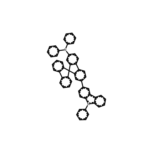 c1ccc(N(c2ccccc2)c2ccc3c(c2)C2(c4ccccc4-c4ccccc42)c2cc(-c4ccc5c(c4)c4ccccc4n5-c4ccccc4)ccc2-3)cc1